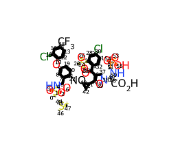 CS(=O)(=O)NC(=O)c1cc(Oc2ccc(C(F)(F)F)cc2Cl)ccc1[N+](=O)[O-].CS(=O)(=O)c1cc(Cl)ccc1C(=O)c1cnoc1C1CC1.C[S+](C)C.O=C(O)CNCP(=O)([O-])O